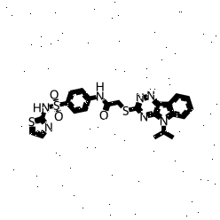 CC(C)n1c2ccccc2c2nnc(SCC(=O)Nc3ccc(S(=O)(=O)Nc4nccs4)cc3)nc21